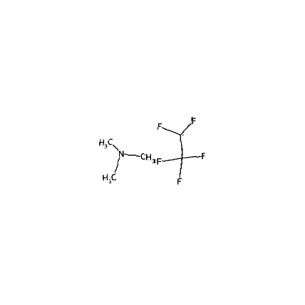 CN(C)C.F[C](F)C(F)(F)F